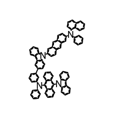 c1ccc(N(c2ccc3cc4cc(-n5c6ccccc6c6cc(-c7cccc(N(c8ccccc8)c8c9ccccc9c(-n9c%10ccccc%10c%10ccccc%109)c9ccccc89)c7)ccc65)ccc4cc3c2)c2cccc3ccccc23)cc1